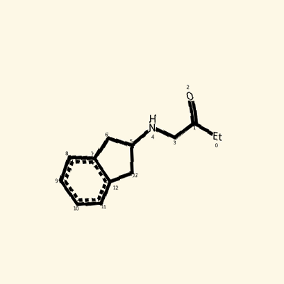 CCC(=O)CNC1Cc2ccccc2C1